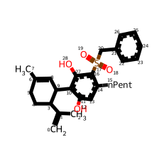 C=C(C)C1CCC(C)=CC1c1c(O)cc(CCCCC)c(S(=O)(=O)Cc2ccccc2)c1O